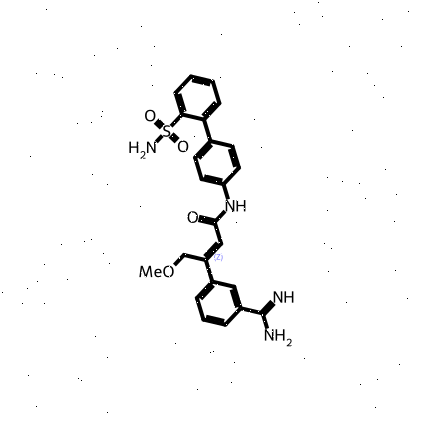 COC/C(=C\C(=O)Nc1ccc(-c2ccccc2S(N)(=O)=O)cc1)c1cccc(C(=N)N)c1